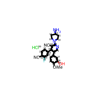 COc1ccc(-c2cnc(N3CCC(N)CC3)c(C#N)c2-c2ccc(C#N)c(F)c2)cc1O.Cl